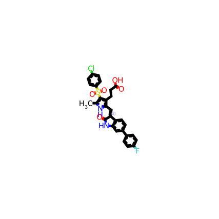 Cc1[nH]c(/C=C2\C(=O)Nc3cc(-c4ccc(F)cc4)ccc32)c(CCC(=O)O)c1S(=O)(=O)c1ccc(Cl)cc1